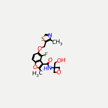 Cc1ncsc1COc1ccc2oc(C)c(C(=O)NC3(CO)COC3)c2c1F